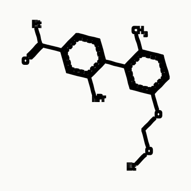 CCCc1cc(C(=O)CC)ccc1-c1cc(OCOCC)ccc1C